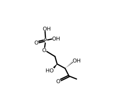 CC(=O)[C@@H](O)[C@@H](O)COP(=O)(O)O